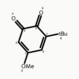 COC1=CC(=O)C(=O)C(C(C)(C)C)=C1